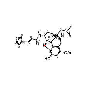 CC(=O)Oc1cc(O)c2c3c1C[C@@H]1[C@@H]4CC[C@@H](N(C)C(=O)/C=C/c5ccoc5)[C@H](O2)[C@]34CCN1CC1CC1